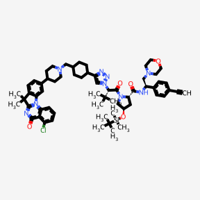 C#Cc1ccc([C@H](CN2CCOCC2)NC(=O)[C@@H]2C[C@@H](O[Si](C)(C)C(C)(C)C)CN2C(=O)[C@@H](n2cc(C3CCC(CN4CCC(c5ccc6c(c5)-n5c(nc(=O)c7c(Cl)cccc75)C6(C)C)CC4)CC3)nn2)C(C)(C)C)cc1